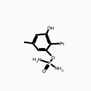 Cc1cc(O)c(C(C)C)c(OP(N)(N)=O)c1